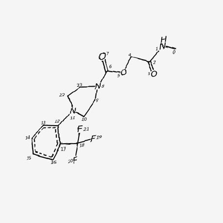 CNC(=O)COC(=O)N1CCN(c2ccccc2C(F)(F)F)CC1